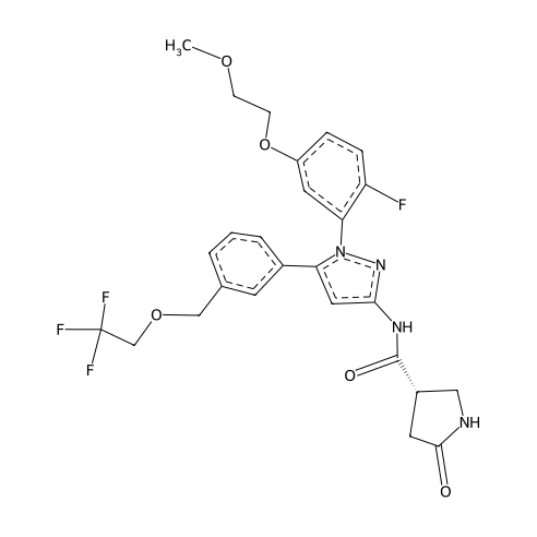 COCCOc1ccc(F)c(-n2nc(NC(=O)[C@@H]3CNC(=O)C3)cc2-c2cccc(COCC(F)(F)F)c2)c1